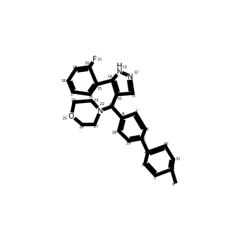 Cc1ccc(-c2ccc(C(c3cn[nH]c3-c3ccccc3F)N3CCOCC3)cc2)cc1